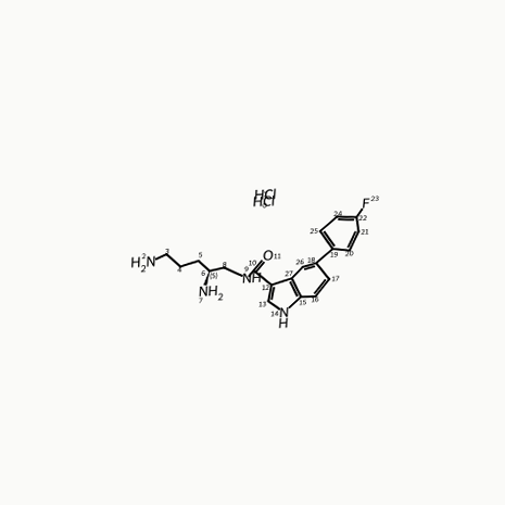 Cl.Cl.NCCC[C@H](N)CNC(=O)c1c[nH]c2ccc(-c3ccc(F)cc3)cc12